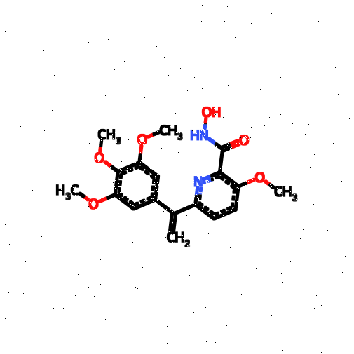 C=C(c1cc(OC)c(OC)c(OC)c1)c1ccc(OC)c(C(=O)NO)n1